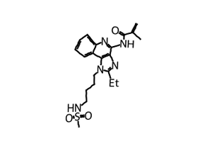 C=C(C)C(=O)Nc1nc2ccccc2c2c1nc(CC)n2CCCCNS(C)(=O)=O